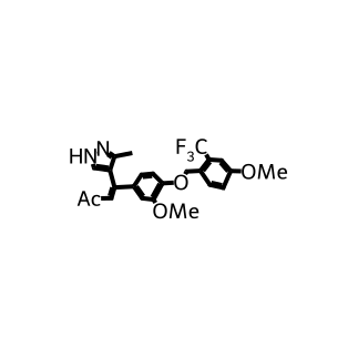 COc1ccc(COc2ccc(/C(=C/C(C)=O)c3c[nH]nc3C)cc2OC)c(C(F)(F)F)c1